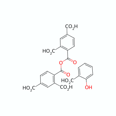 O=C(O)c1ccc(C(=O)OC(=O)c2ccc(C(=O)O)cc2C(=O)O)c(C(=O)O)c1.O=C(O)c1ccccc1O